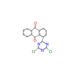 O=C1c2ccccc2C(=O)c2c1cccc2-c1nc(Cl)nc(Cl)n1